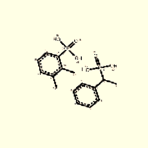 CC(c1ccccc1)P(=O)(O)O.Cc1cccc(P(=O)(O)O)c1C